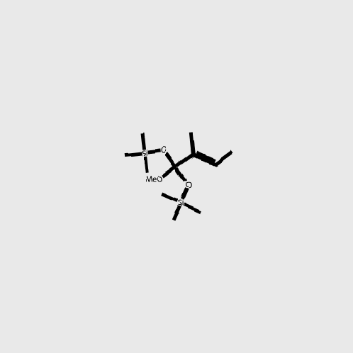 [CH2]OC(O[Si](C)(C)C)(O[Si](C)(C)C)/C(C)=C/C